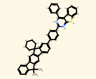 CC1(C)c2ccccc2-c2cc3c(cc21)-c1ccc(-c2ccc(-c4nc(-c5ccccc5)c5c(n4)sc4ccccc45)cc2)cc1C31CCCCC1